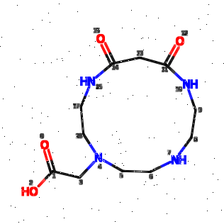 O=C(O)CN1CCNCCNC(=O)CC(=O)NCC1